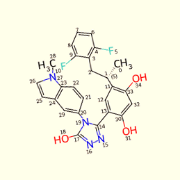 C[C@@H](Cc1c(F)cccc1F)c1cc(-c2nnc(O)n2-c2ccc3c(ccn3C)c2)c(O)cc1O